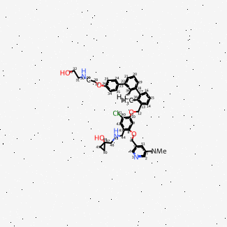 CNc1cncc(COc2cc(OCc3cccc(-c4cccc(-c5ccc(OCCNCCO)cc5)c4C)c3C)c(Cl)cc2CNCC2(O)CC2)c1